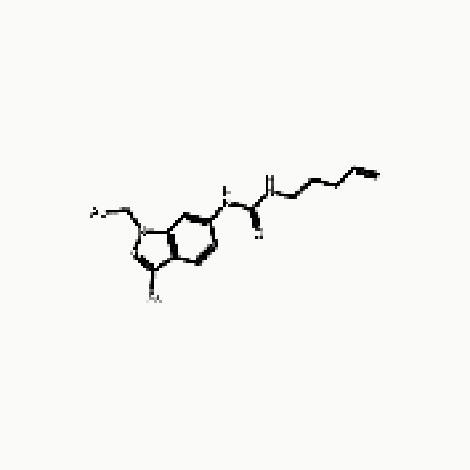 C=CCCCNC(=O)Nc1ccc2c(C(C)=O)nn(CC(C)=O)c2c1